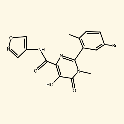 Cc1ccc(Br)cc1-c1nc(C(=O)Nc2cnoc2)c(O)c(=O)n1C